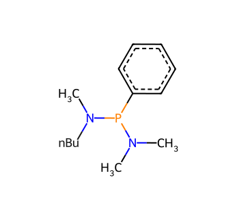 CCCCN(C)P(c1ccccc1)N(C)C